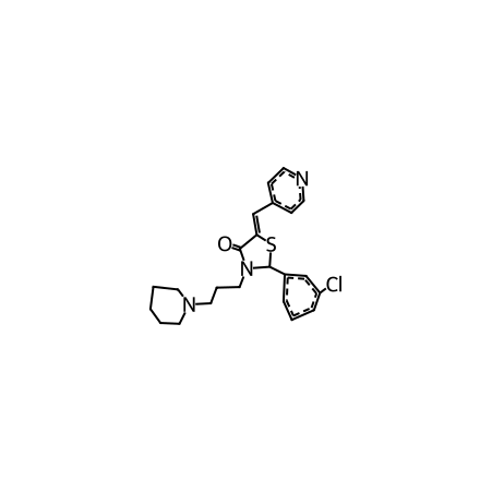 O=C1/C(=C/c2ccncc2)SC(c2cccc(Cl)c2)N1CCCN1CCCCC1